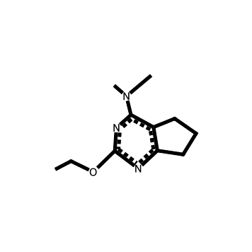 CCOc1nc2c(c(N(C)C)n1)CCC2